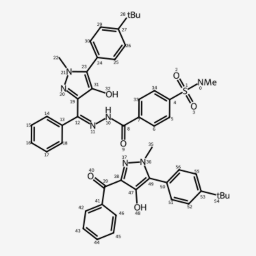 CNS(=O)(=O)c1ccc(C(=O)NN=C(c2ccccc2)c2nn(C)c(-c3ccc(C(C)(C)C)cc3)c2O)cc1.Cn1nc(C(=O)c2ccccc2)c(O)c1-c1ccc(C(C)(C)C)cc1